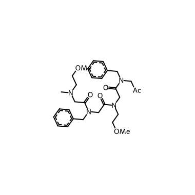 COCCN(C)CC(=O)N(CC(=O)N(CCOC)CC(=O)N(CC(C)=O)Cc1ccccc1)Cc1ccccc1